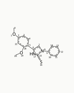 COc1ccc(-c2cn(-c3ccccc3)c(=S)[nH]2)c(OC)c1